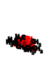 COCC(C)OC1C(OC)[C@H](OC)[C@H](CO)O[C@H]1O[C@@H]1C(COC)O[C@@H](O[C@H]2C(OC)C(O)[C@H](OC)O[C@H]2COC)[C@@H](OCC(C)O)C1O